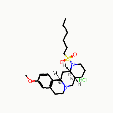 CCCCCCS(=O)(=O)N1CCC[C@@H]2CN3CCc4cc(OC)ccc4[C@H]3C[C@@H]21.Cl